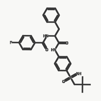 CC(C)(C)CS(=N)(=O)c1ccc(NC(=O)C(Cc2ccccc2)NC(=O)c2ccc(F)cc2)cc1